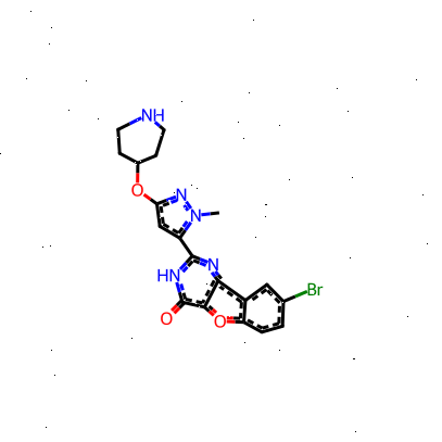 Cn1nc(OC2CCNCC2)cc1-c1nc2c(oc3ccc(Br)cc32)c(=O)[nH]1